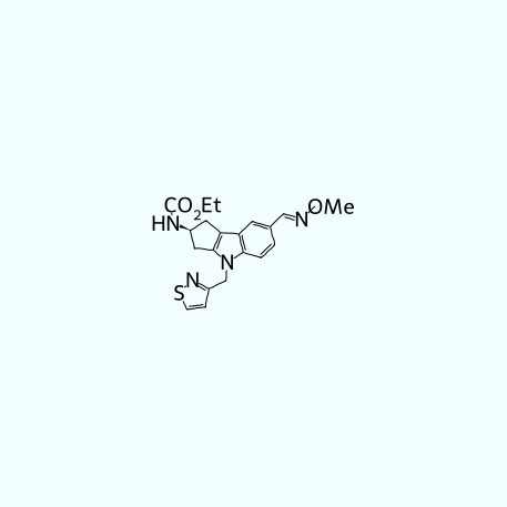 CCOC(=O)N[C@H]1Cc2c(n(Cc3ccsn3)c3ccc(C=NOC)cc23)C1